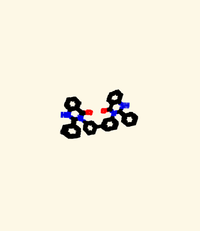 O=C1c2ccccc2NC(c2ccccc2)N1c1cccc(-c2cccc(N3C(=O)c4ccccc4NC3c3ccccc3)c2)c1